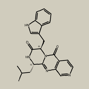 CC(C)C[C@@H]1NC(=O)[C@@H](Cc2c[nH]c3ccccc23)n2c1nc1cnccc1c2=O